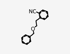 N#Cc1ccccc1CCOCc1ccccc1